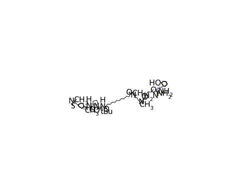 Cc1ncsc1-c1ccc([C@H](C)NC(=O)[C@@H]2CCCN2C(=O)[C@@H](NC(=O)CCCCCCCCCCC(=O)N(C)CCCN(C)c2ccc(CCOC(/C=C(\N)c3ccccc3O)=C(N)N)cc2)C(C)(C)C)cc1